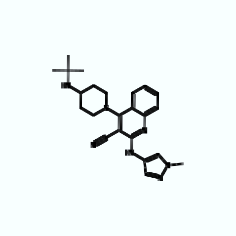 Cn1cc(Nc2nc3ccccc3c(N3CCC(NC(C)(C)C)CC3)c2C#N)cn1